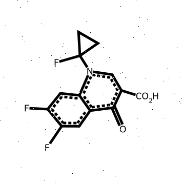 O=C(O)c1cn(C2(F)CC2)c2cc(F)c(F)cc2c1=O